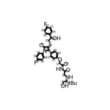 CC(C)(C)[C@H](CO)NCC(=O)NC(=O)COc1ccc([C@@H]2[C@@H](SCC(O)c3ccc(F)cc3)C(=O)N2c2ccc(F)cc2)cc1